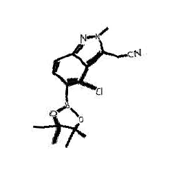 Cn1nc2ccc(B3OC(C)(C)C(C)(C)O3)c(Cl)c2c1CC#N